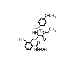 CCOC(=O)C(CCc1c(C)cccc1C(=O)NO)NS(=O)(=O)c1ccc(OC)cc1